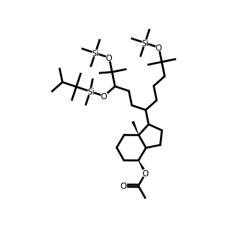 CC(=O)O[C@H]1CCC[C@]2(C)C(C(CCCC(C)(C)O[Si](C)(C)C)CCC(O[Si](C)(C)C(C)(C)C(C)C)C(C)(C)O[Si](C)(C)C)CCC12